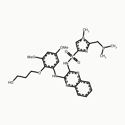 COc1cc(Nc2nc3ccccc3nc2NS(=O)(=O)c2cn(C)c(CN(C)C)n2)c(OCCCO)c(OC)c1